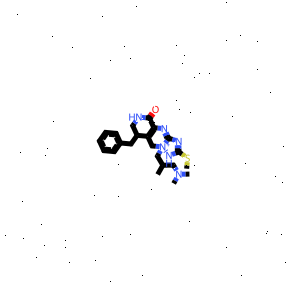 CSC1=NC2=NC3=C(C[N+]2(CC(C)CN(C)C)N1)C(Cc1ccccc1)CNC3=O